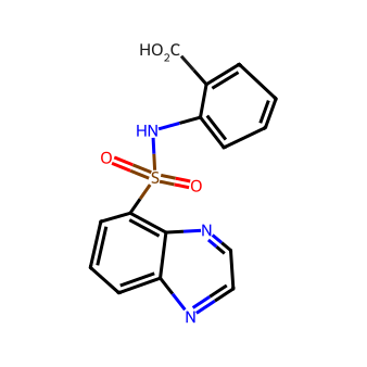 O=C(O)c1ccccc1NS(=O)(=O)c1cccc2nccnc12